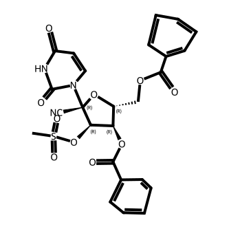 CS(=O)(=O)O[C@@H]1[C@H](OC(=O)c2ccccc2)[C@@H](COC(=O)c2ccccc2)O[C@@]1(C#N)n1ccc(=O)[nH]c1=O